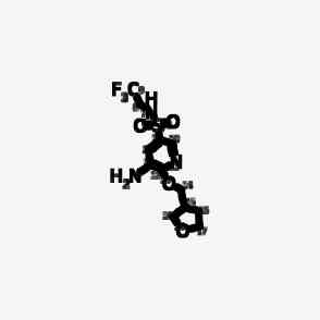 Nc1cc(S(=O)(=O)NCC(F)(F)F)cnc1OCC1CCOC1